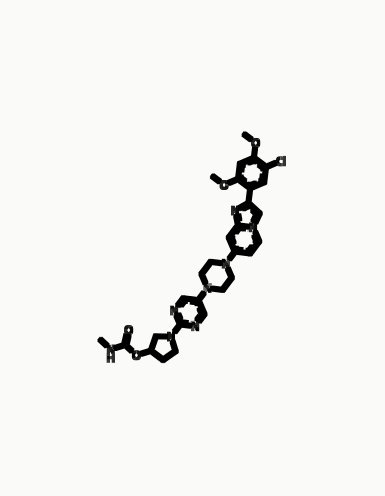 CNC(=O)OC1CCN(c2ncc(N3CCN(c4ccn5cc(-c6cc(Cl)c(OC)cc6OC)nc5c4)CC3)cn2)C1